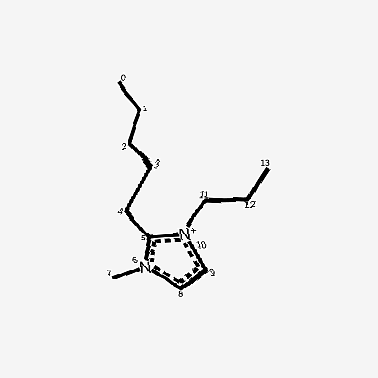 CCCCCc1n(C)cc[n+]1CCC